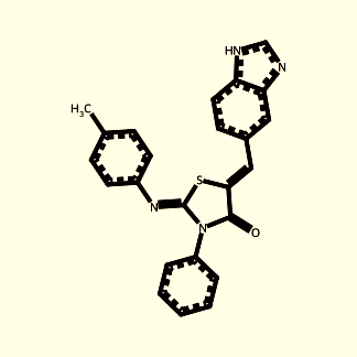 Cc1ccc(/N=C2\S/C(=C\c3ccc4[nH]cnc4c3)C(=O)N2c2ccccc2)cc1